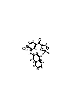 CC1(C)OC[C@H](C(=O)c2ccc(Cl)c(Cc3ccc4ccccc4c3)c2)O1